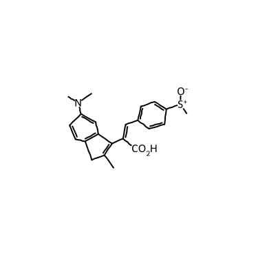 CC1=C(C(=Cc2ccc([S+](C)[O-])cc2)C(=O)O)c2cc(N(C)C)ccc2C1